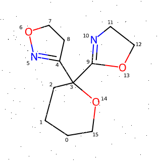 C1CCC(C2=NOCC2)(C2=NCCO2)OC1